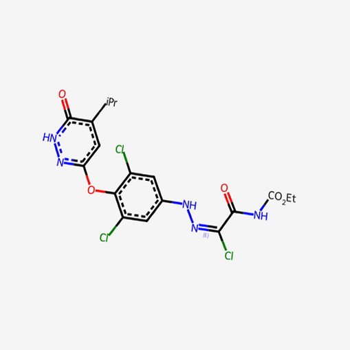 CCOC(=O)NC(=O)/C(Cl)=N\Nc1cc(Cl)c(Oc2cc(C(C)C)c(=O)[nH]n2)c(Cl)c1